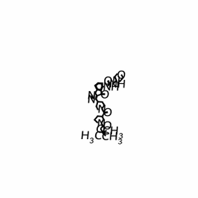 CC(C)(C)OC(=O)N1CCCC(C(=O)N2CCC(C3=C4C(=O)c5c(NC(=O)NN6CCOCC6)cccc5C4N=N3)CC2)C1